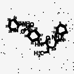 CCC(Sc1nc2ccccc2[nH]1)C(=O)Nc1ccc(S(=O)(=O)Nc2ccccn2)cc1